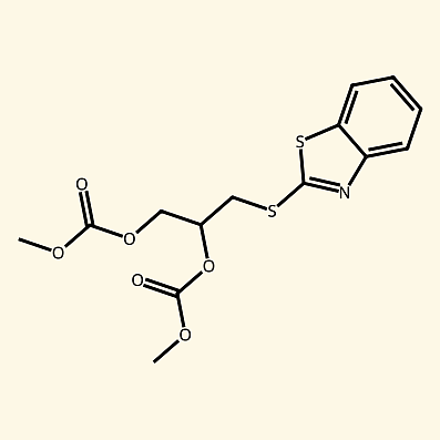 COC(=O)OCC(CSc1nc2ccccc2s1)OC(=O)OC